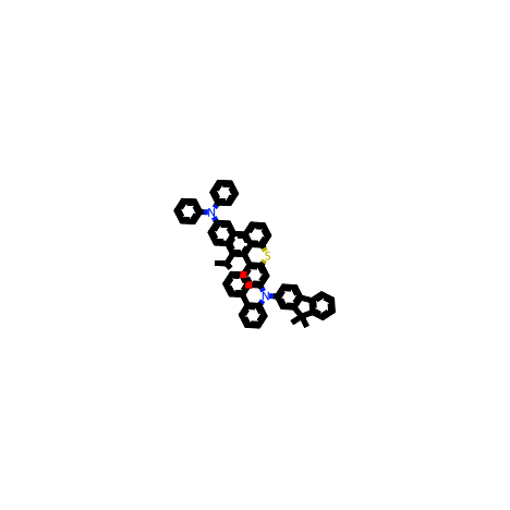 CC(C)c1c2c3c(cccc3c3cc(N(c4ccccc4)c4ccccc4)ccc13)Sc1cc(N(c3ccc4c(c3)C(C)(C)c3ccccc3-4)c3ccccc3-c3ccccc3)ccc1-2